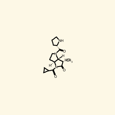 C[C@@H]1C(=O)N(C(=O)C2CC2)[C@H]2CCN(C(=O)[C@@H]3CCCN3)[C@H]12.Cl